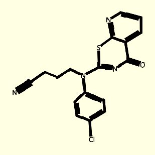 N#CCCCN(c1ccc(Cl)cc1)c1nc(=O)c2cccnc2s1